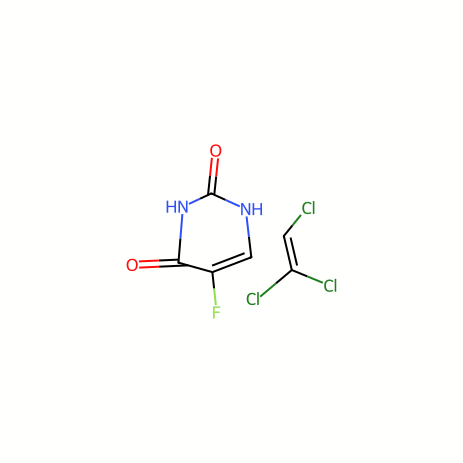 ClC=C(Cl)Cl.O=c1[nH]cc(F)c(=O)[nH]1